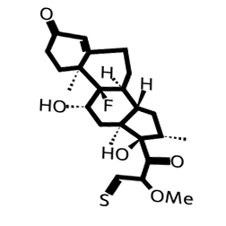 COC(C=S)C(=O)[C@@]1(O)[C@@H](C)C[C@H]2[C@@H]3CCC4=CC(=O)CC[C@]4(C)[C@@]3(F)[C@@H](O)C[C@@]21C